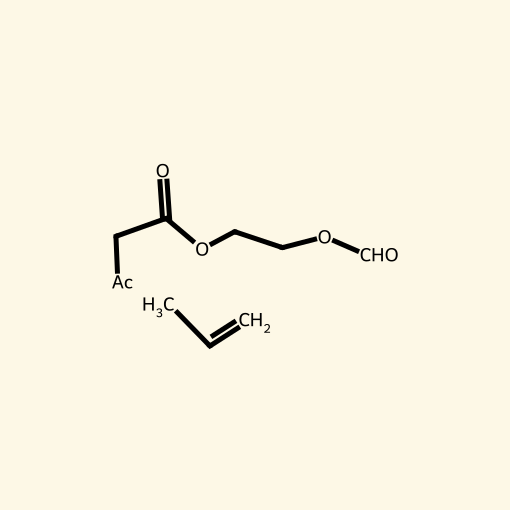 C=CC.CC(=O)CC(=O)OCCOC=O